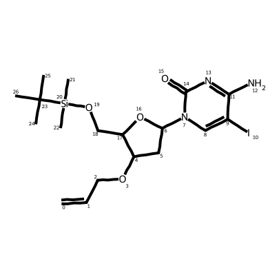 C=CCOC1CC(n2cc(I)c(N)nc2=O)OC1CO[Si](C)(C)C(C)(C)C